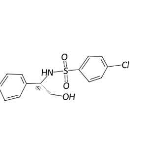 O=S(=O)(N[C@H](CO)c1ccccc1)c1ccc(Cl)cc1